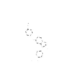 CCOC(=O)c1cc2ccc(Oc3ccc(OC(F)(F)F)cc3)cc2n1-c1ccc(OC(C)C)cc1